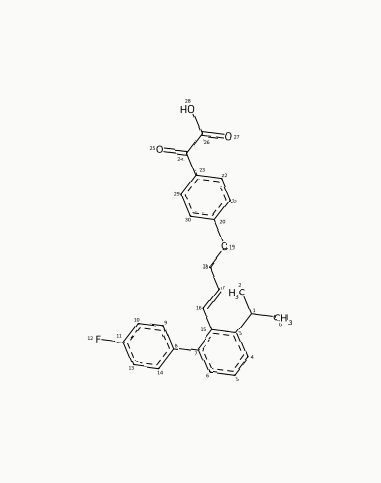 CC(C)c1cccc(-c2ccc(F)cc2)c1C=CCOc1ccc(C(=O)C(=O)O)cc1